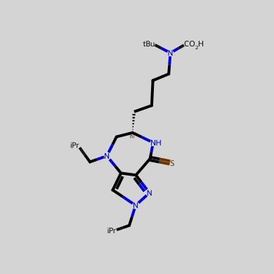 CC(C)CN1C[C@H](CCCCN(C(=O)O)C(C)(C)C)NC(=S)c2nn(CC(C)C)cc21